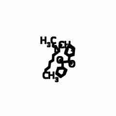 CCCCCCCN(C)CC.O=C(C(=O)c1ccccc1)c1ccccc1